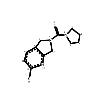 O=C(N1CCCC1)N1Cc2ccc(Cl)nc2C1